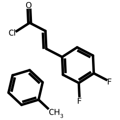 Cc1ccccc1.O=C(Cl)C=Cc1ccc(F)c(F)c1